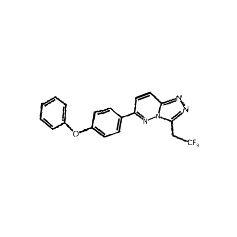 FC(F)(F)Cc1nnc2ccc(-c3ccc(Oc4ccccc4)cc3)nn12